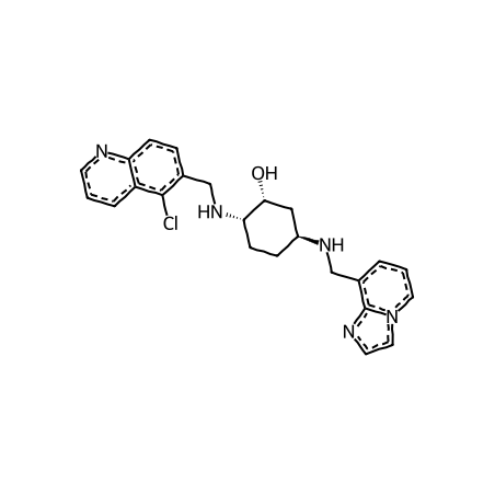 O[C@@H]1C[C@@H](NCc2cccn3ccnc23)CC[C@@H]1NCc1ccc2ncccc2c1Cl